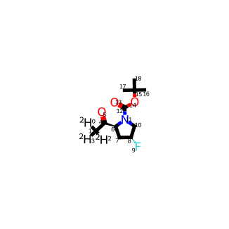 [2H]C([2H])([2H])C(=O)[C@@H]1C[C@@H](F)CN1C(=O)OC(C)(C)C